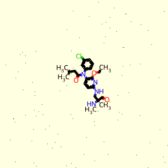 CCOc1nc(NC[C@@](C)(C=O)NC)ccc1N(C(=O)CC(C)C)c1cccc(Cl)c1